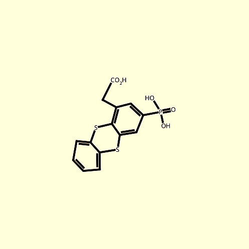 O=C(O)Cc1cc(P(=O)(O)O)cc2c1Sc1ccccc1S2